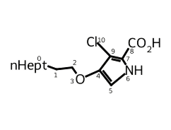 CCCCCCCCCOc1c[nH]c(C(=O)O)c1Cl